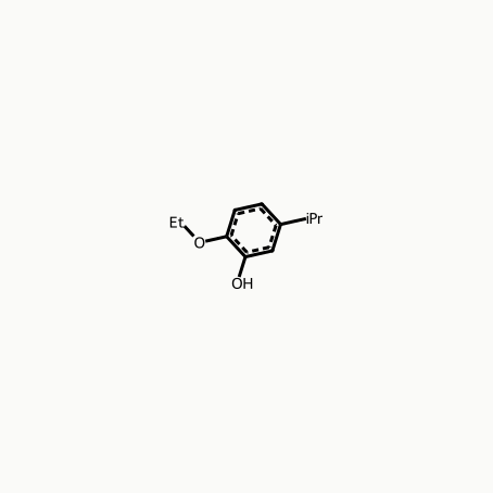 CCOc1ccc(C(C)C)cc1O